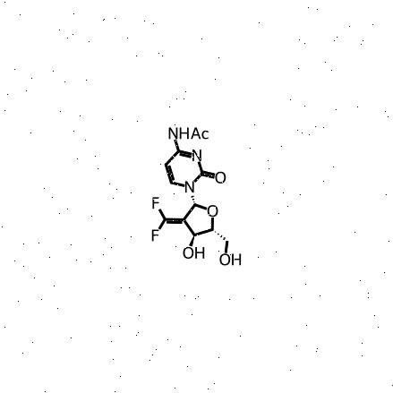 CC(=O)Nc1ccn([C@@H]2O[C@H](CO)[C@@H](O)C2=C(F)F)c(=O)n1